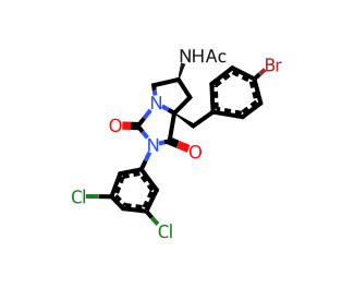 CC(=O)N[C@@H]1CN2C(=O)N(c3cc(Cl)cc(Cl)c3)C(=O)[C@@]2(Cc2ccc(Br)cc2)C1